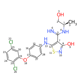 C[C@H](CO)NC(=N)c1c(O)nsc1Nc1ccc(Oc2cc(Cl)ccc2Cl)cc1